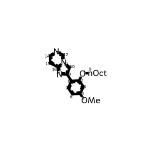 CCCCCCCCOc1cc(OC)ccc1-c1cn2cnccc2n1